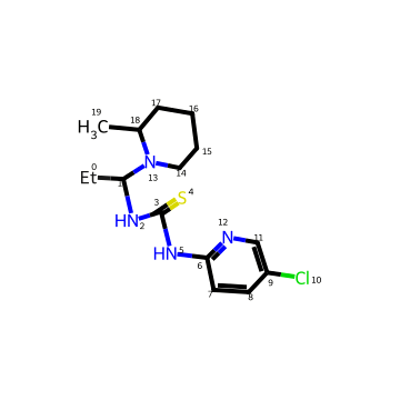 CCC(NC(=S)Nc1ccc(Cl)cn1)N1CCCCC1C